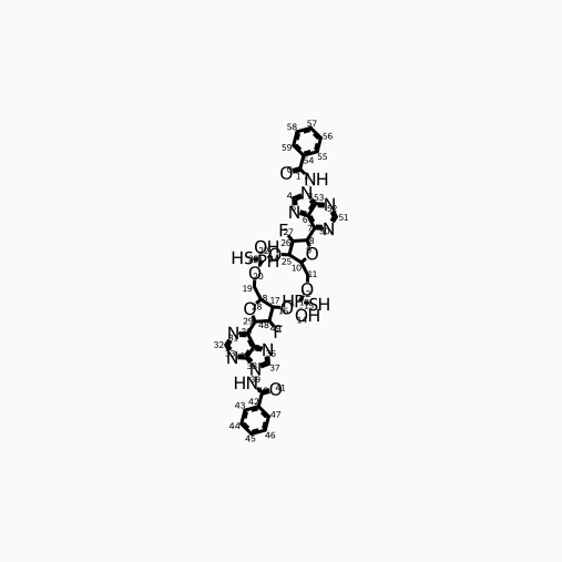 O=C(Nn1cnc2c(C3OC4CO[PH](O)(S)OC5C(CO[PH](O)(S)OC4C3F)OC(c3ncnc4c3ncn4NC(=O)c3ccccc3)C5F)ncnc21)c1ccccc1